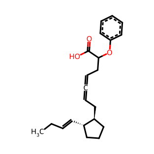 CC/C=C/[C@H]1CCC[C@@H]1CC=C=CCC(Oc1ccccc1)C(=O)O